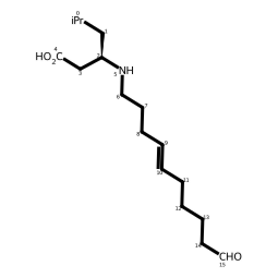 CC(C)C[C@H](CC(=O)O)NCCC/C=C/CCCCC=O